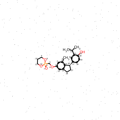 Cc1cc(OCP2(=O)OCCCO2)cc2c1[C@@H](c1ccc(O)c(C(C)C)c1)CC2